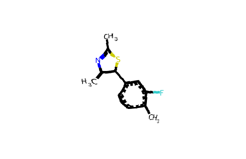 CC1=NC(C)C(c2ccc(C)c(F)c2)S1